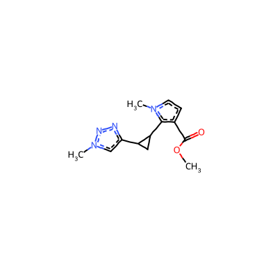 COC(=O)c1ccn(C)c1C1CC1c1cn(C)nn1